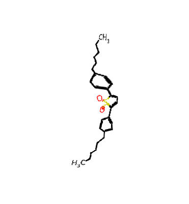 CCCCCCc1ccc(C2=CC=C(c3ccc(CCCCCC)cc3)S2(=O)=O)cc1